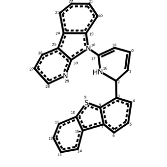 C1=CC(c2cccc3c2sc2ccccc23)NC(n2c3ccccc3c3cccnc32)=C1